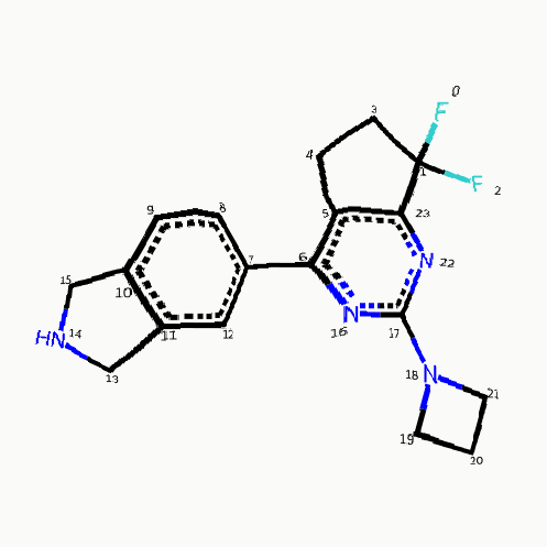 FC1(F)CCc2c(-c3ccc4c(c3)CNC4)nc(N3CCC3)nc21